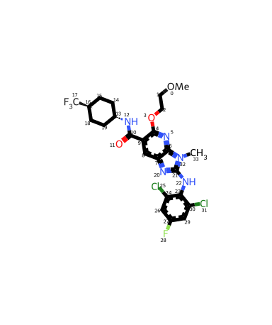 COCCOc1nc2c(cc1C(=O)N[C@H]1CC[C@H](C(F)(F)F)CC1)nc(Nc1c(Cl)cc(F)cc1Cl)n2C